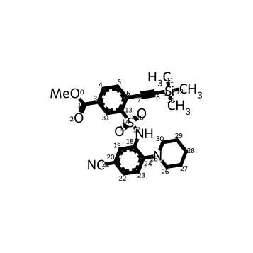 COC(=O)c1ccc(C#C[Si](C)(C)C)c(S(=O)(=O)Nc2cc(C#N)ccc2N2CCCCC2)c1